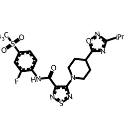 CC(C)c1noc(C2CCN(c3nsnc3C(=O)Nc3ccc(S(C)(=O)=O)cc3F)CC2)n1